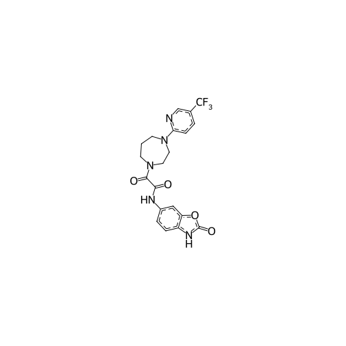 O=C(Nc1ccc2[nH]c(=O)oc2c1)C(=O)N1CCCN(c2ccc(C(F)(F)F)cn2)CC1